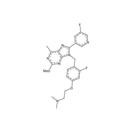 COc1nc(C)c2nc(-c3cncc(F)c3)n(Cc3ccc(OCCN(C)C)cc3F)c2n1